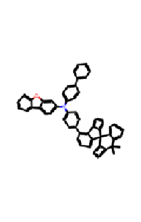 CC1(C)c2ccccc2C2(c3ccccc3-c3c(-c4ccc(N(c5ccc(-c6ccccc6)cc5)c5ccc6c(c5)oc5ccccc56)cc4)cccc32)c2ccccc21